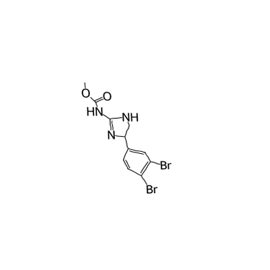 COC(=O)NC1=NC(c2ccc(Br)c(Br)c2)CN1